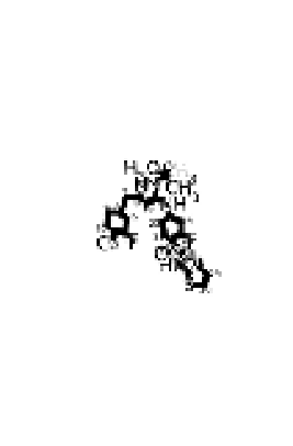 CC(C)(C)n1nc(Cc2ccc(Cl)c(F)c2)cc1Nc1ccc(S(=O)(=O)Nc2nccs2)c(F)c1